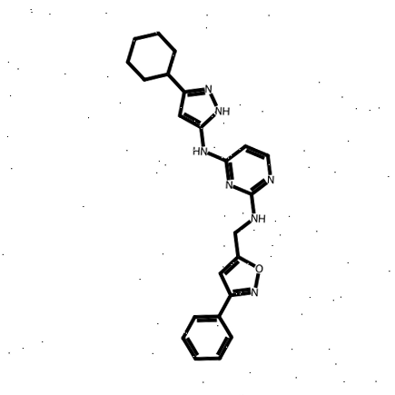 c1ccc(-c2cc(CNc3nccc(Nc4cc(C5CCCCC5)n[nH]4)n3)on2)cc1